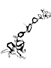 C=CCn1c(=O)c2cnc(Nc3ccc(N4CCN(C5CCN(C(=O)OC(C)(C)C)CC5)CC4)cc3)nc2n1-c1cccc(C(C)(C)O)n1